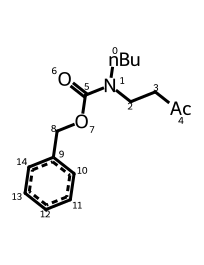 CCCCN(CCC(C)=O)C(=O)OCc1ccccc1